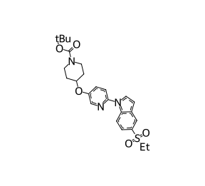 CCS(=O)(=O)c1ccc2c(ccn2-c2ccc(OC3CCN(C(=O)OC(C)(C)C)CC3)cn2)c1